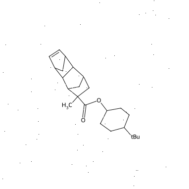 CC(C)(C)C1CCC(OC(=O)C2(C)CC3CC2C2C4C=CC(C4)C32)CC1